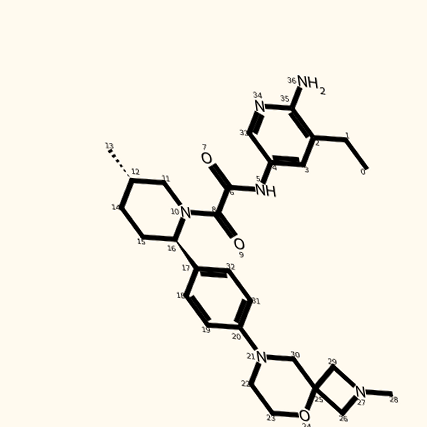 CCc1cc(NC(=O)C(=O)N2C[C@@H](C)CC[C@@H]2c2ccc(N3CCOC4(CN(C)C4)C3)cc2)cnc1N